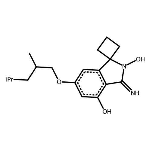 CC(C)CC(C)COc1cc(O)c2c(c1)C1(CCC1)N(O)C2=N